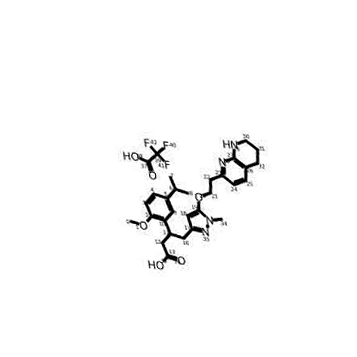 COc1ccc(C(C)C)cc1C(CC(=O)O)Cc1cc(OCCc2ccc3c(n2)NCCC3)n(C)n1.O=C(O)C(F)(F)F